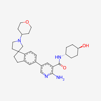 Nc1ncc(-c2ccc3c(c2)CCC32CCN(C3CCOCC3)C2)cc1C(=O)N[C@H]1CC[C@H](O)CC1